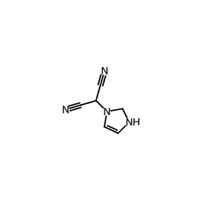 N#CC(C#N)N1C=CNC1